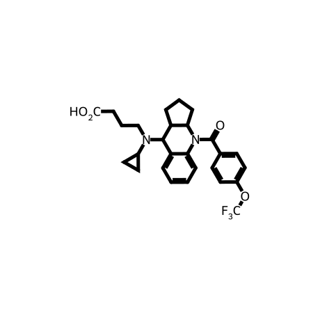 O=C(O)CCCN(C1CC1)C1c2ccccc2N(C(=O)c2ccc(OC(F)(F)F)cc2)C2CCCC21